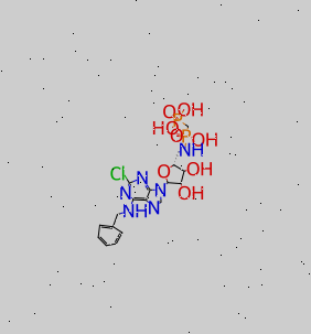 O=P(O)(O)CP(=O)(O)NC[C@H]1O[C@@H](n2cnc3c(NCc4ccccc4)nc(Cl)nc32)C(O)C1O